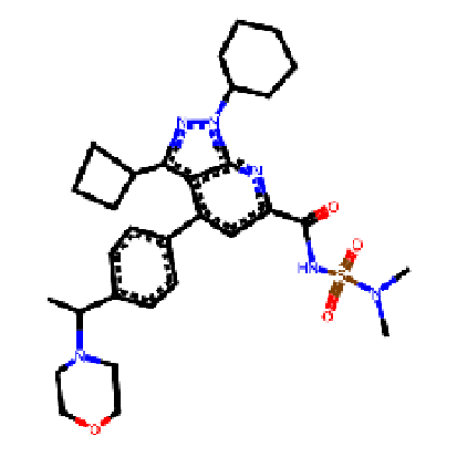 CC(c1ccc(-c2cc(C(=O)NS(=O)(=O)N(C)C)nc3c2c(C2CCC2)nn3C2CCCCC2)cc1)N1CCOCC1